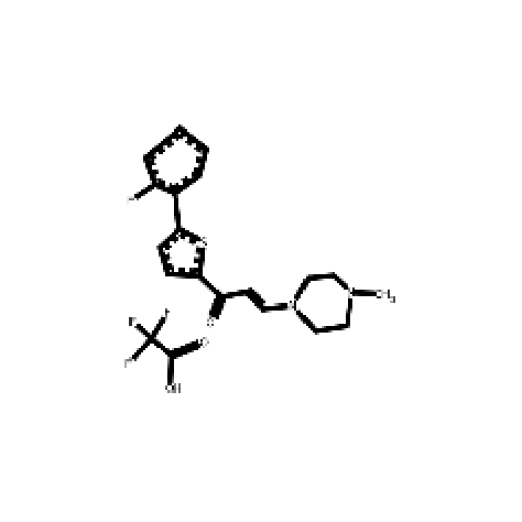 CN1CCN(C=CC(=O)c2ccc(-c3ccccc3F)s2)CC1.O=C(O)C(F)(F)F